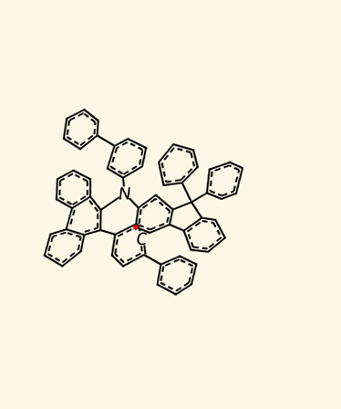 c1ccc(-c2ccc(-c3c(N(c4cccc(-c5ccccc5)c4)c4ccc5c(c4)C(c4ccccc4)(c4ccccc4)c4ccccc4-5)c4ccccc4c4ccccc34)cc2)cc1